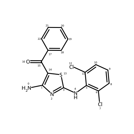 Nc1nc(Nc2c(Cl)cccc2Cl)sc1C(=O)c1ccccc1